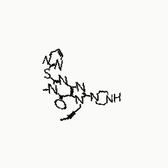 CC#CCn1c(N2CCNCC2)nc2nc(Sc3ncccn3)n(C)c(=O)c21